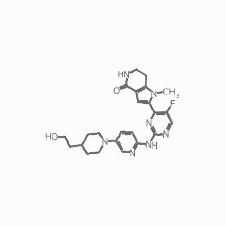 Cn1c(-c2nc(Nc3ccc(N4CCC(CCO)CC4)cn3)ncc2F)cc2c1CCNC2=O